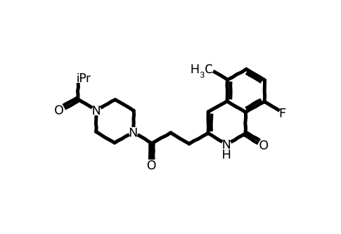 Cc1ccc(F)c2c(=O)[nH]c(CCC(=O)N3CCN(C(=O)C(C)C)CC3)cc12